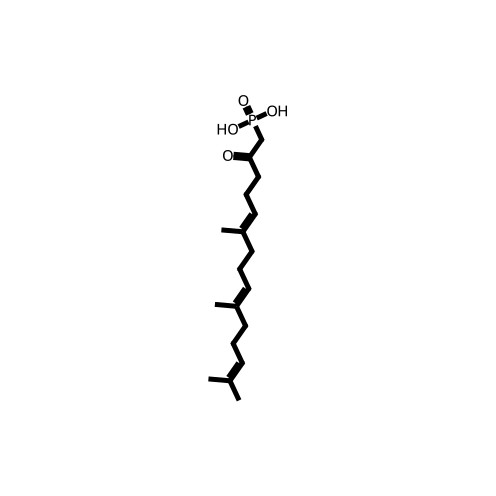 CC(C)=CCC/C(C)=C/CC/C(C)=C/CCC(=O)CP(=O)(O)O